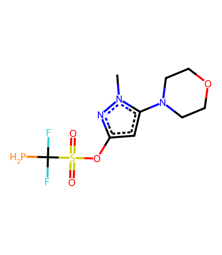 Cn1nc(OS(=O)(=O)C(F)(F)P)cc1N1CCOCC1